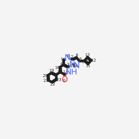 O=c1[nH]c2c(cnc3cc(C4=CC=C4)nn32)cc1-c1ccccc1